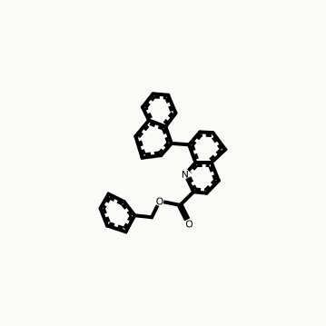 O=C(OCc1ccccc1)c1ccc2cccc(-c3cccc4ccccc34)c2n1